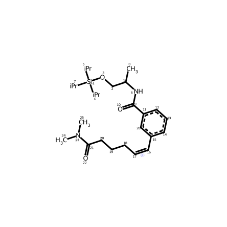 CC(CO[Si](C(C)C)(C(C)C)C(C)C)NC(=O)c1cccc(/C=C\CCCC(=O)N(C)C)c1